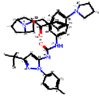 Cc1ccc(-n2nc(C(C)(C)C)cc2NC(=O)Nc2cccc(CC3CC4CCC(C3)N4CC(=O)c3ccc(N4CCCC4)cc3)c2)cc1